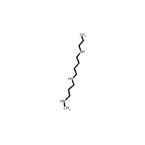 CCCNCCCCNCCCNC